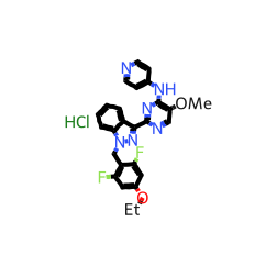 CCOc1cc(F)c(Cn2nc(-c3ncc(OC)c(Nc4ccncc4)n3)c3ccccc32)c(F)c1.Cl